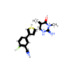 C=C1C(=O)N(C)C(=N)N[C@@H]1c1cc(-c2ccc(F)c(C#N)c2)cs1